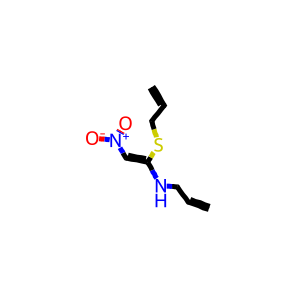 C=CCNC(=C[N+](=O)[O-])SCC=C